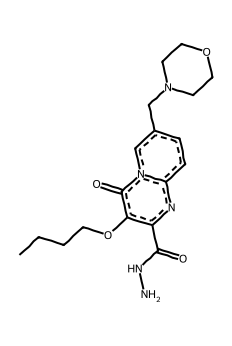 CCCCOc1c(C(=O)NN)nc2ccc(CN3CCOCC3)cn2c1=O